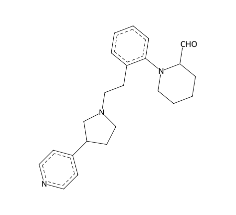 O=CC1CCCCN1c1ccccc1CCN1CCC(c2ccncc2)C1